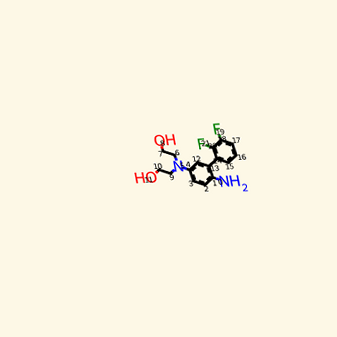 Nc1ccc(N(CCO)CCO)cc1-c1cccc(F)c1F